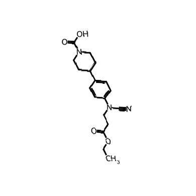 CCOC(=O)CCN(C#N)c1ccc(C2CCN(C(=O)O)CC2)cc1